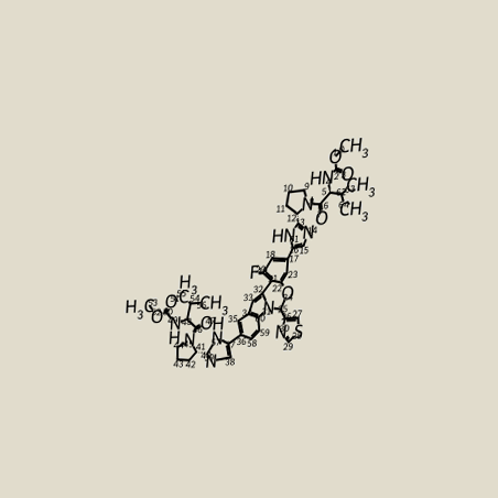 COC(=O)N[C@H](C(=O)N1CCC[C@H]1c1ncc(-c2cc(F)c3c(c2)OC(c2cscn2)n2c-3cc3cc(-c4cnc([C@@H]5CCCN5C(=O)[C@@H](NC(=O)OC)C(C)C)[nH]4)ccc32)[nH]1)C(C)C